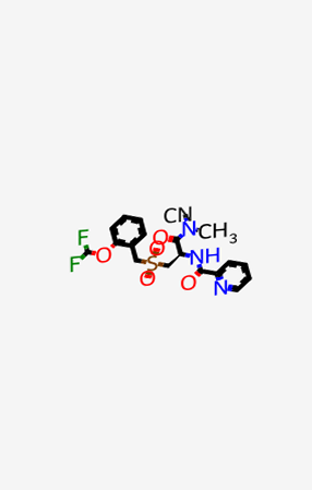 CN(C#N)C(=O)[C@H](CS(=O)(=O)Cc1ccccc1OC(F)F)NC(=O)c1ccccn1